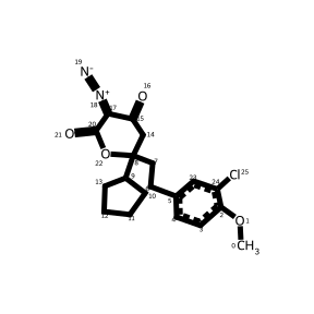 COc1ccc(CCC2(C3CCCC3)CC(=O)C(=[N+]=[N-])C(=O)O2)cc1Cl